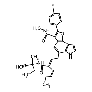 C#CC(C)(CC)NC(=O)C(/C=C\CC)=C/Cc1cc2c(C(=O)NC)c(-c3ccc(F)cc3)oc2c2cc[nH]c12